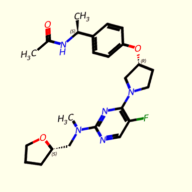 CC(=O)N[C@@H](C)c1ccc(O[C@@H]2CCN(c3nc(N(C)C[C@@H]4CCCO4)ncc3F)C2)cc1